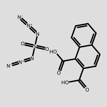 O=C(O)c1ccc2ccccc2c1C(=O)O.[N-]=[N+]=NS(=O)(=O)N=[N+]=[N-]